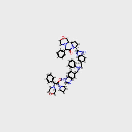 O=C([C@@H](c1ccccc1)N1CCOCC1)N1CCC[C@H]1c1nc2cc(CN(Cc3ccc4[nH]c([C@@H]5CCCN5C(=O)[C@@H](c5ccccc5)N5CCOCC5)nc4c3)c3ccccc3)ccc2[nH]1